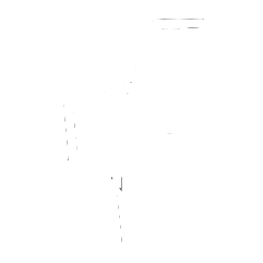 C=Cc1c(/C=C\C)c(C)c(C)n1C